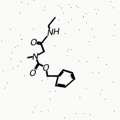 CCNC(=O)CN(C)C(=O)OCc1ccccc1